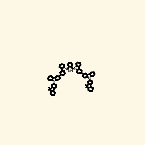 CC1(C)c2ccccc2-c2ccc(-n3c4ccccc4c4cc(-c5ccc6c(c5)c5ccccc5n6-c5nnc(-n6c7ccccc7c7cc(-c8ccc9c(c8)c8ccccc8n9-c8ccc9c(c8)C(C)(C)c8ccccc8-9)ccc76)c6ccccc56)ccc43)cc21